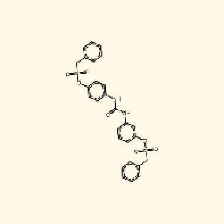 O=C(Nc1ccc(OS(=O)(=O)Cc2ccccc2)cc1)Nc1cccc(OS(=O)(=O)Cc2ccccc2)c1